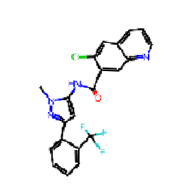 Cn1nc(-c2ccccc2C(F)(F)F)cc1NC(=O)c1cc2ncccc2cc1Cl